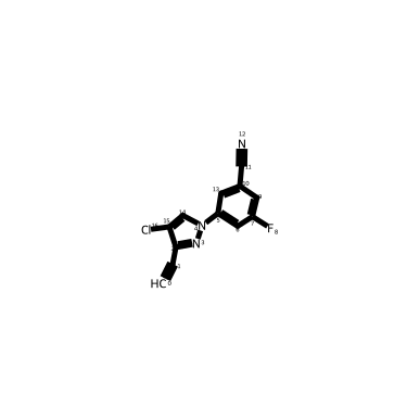 C#Cc1nn(-c2cc(F)cc(C#N)c2)cc1Cl